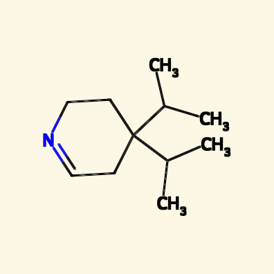 CC(C)C1(C(C)C)CC=NCC1